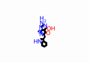 Cn1nc(Cc2c[nH]c3ccccc23)c(=O)c2c(O)nc(N)nc21